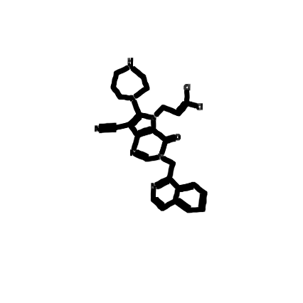 N#Cc1c(N2CCCNCC2)n(CC=C(Cl)Cl)c2c(=O)n(Cc3nccc4ccccc34)cnc12